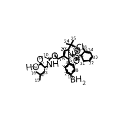 Bc1ccc(C2C(CO[C@H](C)N[C@@H](CC(C)C)C(=O)O)=CC(C(C)(C)C)N2S(=O)(=O)C2CC=CC=C2Cl)cc1